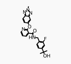 Cn1nc2ccc(Oc3ncccc3C(=O)NCc3ccc(C(C)(C)O)cc3F)cc2n1